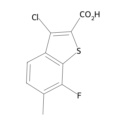 Cc1ccc2c(Cl)c(C(=O)O)sc2c1F